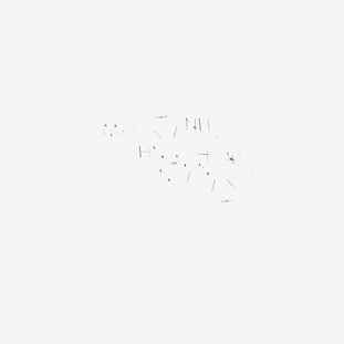 CCP(=O)(CC)c1ccccc1Nc1nc(Nc2cc(N)ccc2OC)ncc1Cl